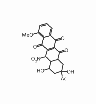 COc1cccc2c1C(=O)C1=C(C2=O)C(=O)C2CC(O)(C(C)=O)CC(O)C2C1[N+](=O)[O-]